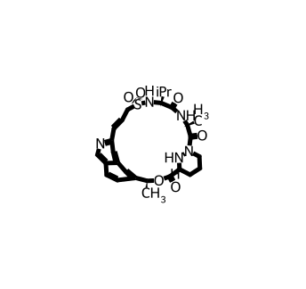 CC(C)[C@@H]1NS(=O)(=O)C/C=C/c2cc3cc(ccc3cn2)[C@@H](C)OC(=O)[C@@H]2CCCN(N2)C(=O)[C@H](C)NC1=O